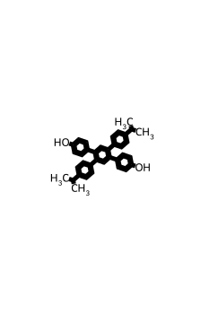 CC(C)c1ccc(-c2cc(-c3ccc(O)cc3)c(-c3ccc(C(C)C)cc3)cc2-c2ccc(O)cc2)cc1